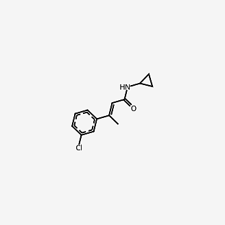 CC(=CC(=O)NC1CC1)c1cccc(Cl)c1